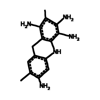 Cc1cc2c(cc1N)Nc1c(N)c(N)c(C)c(N)c1C2